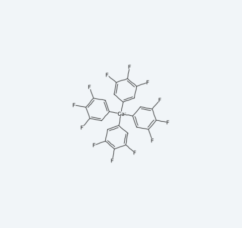 Fc1c[c]([Ga-]([c]2cc(F)c(F)c(F)c2)([c]2cc(F)c(F)c(F)c2)[c]2cc(F)c(F)c(F)c2)cc(F)c1F